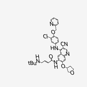 CC(C)(C)NCC=CC(=O)Nc1cc2c(Nc3ccc(OCc4ccccn4)c(Cl)c3)c(C#N)cnc2cc1OC1CCOC1